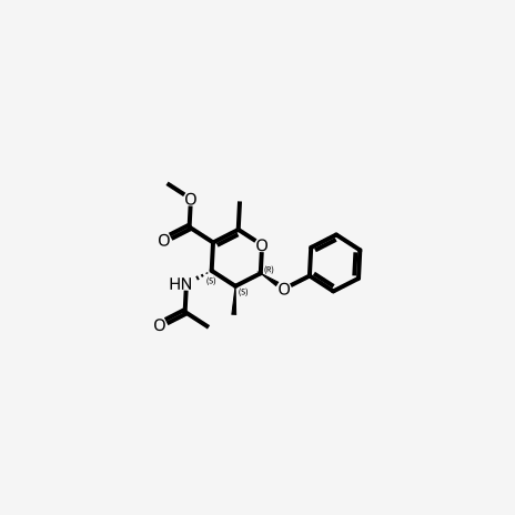 COC(=O)C1=C(C)O[C@@H](Oc2ccccc2)[C@@H](C)[C@@H]1NC(C)=O